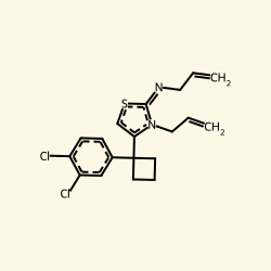 C=CCN=c1scc(C2(c3ccc(Cl)c(Cl)c3)CCC2)n1CC=C